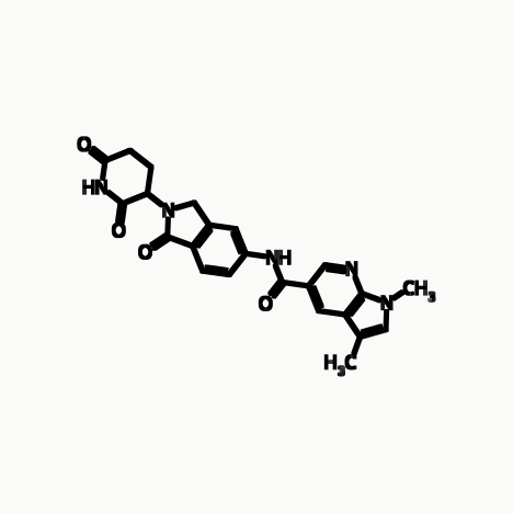 Cc1cn(C)c2ncc(C(=O)Nc3ccc4c(c3)CN(C3CCC(=O)NC3=O)C4=O)cc12